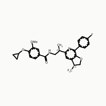 COc1cc(C(=O)NC[C@@H](C)c2cc3c(c(-c4ccc(F)cc4)n2)OC[C@H]3C(F)(F)F)ccc1OC1CC1